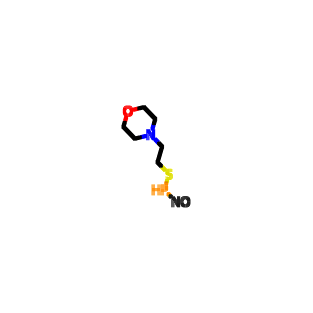 O=NPSCCN1CCOCC1